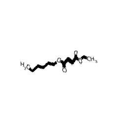 CCCCCCOC(=O)/C=C/C(=O)OCC